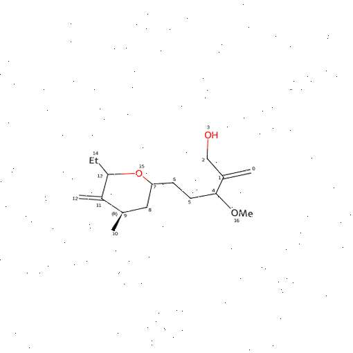 C=C(CO)C(CCC1C[C@@H](C)C(=C)C(CC)O1)OC